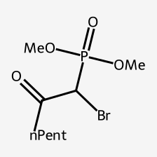 CCCCCC(=O)C(Br)P(=O)(OC)OC